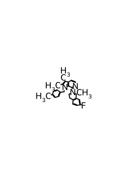 Cc1ccc(Cn2c(C)c(C)c3ccnc(N4CCc5ccc(F)cc5C4C)c32)cc1